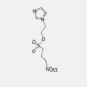 CCCCCCCCCCCS(=O)(=O)OCCn1ccnc1